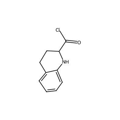 O=C(Cl)C1CCc2ccccc2N1